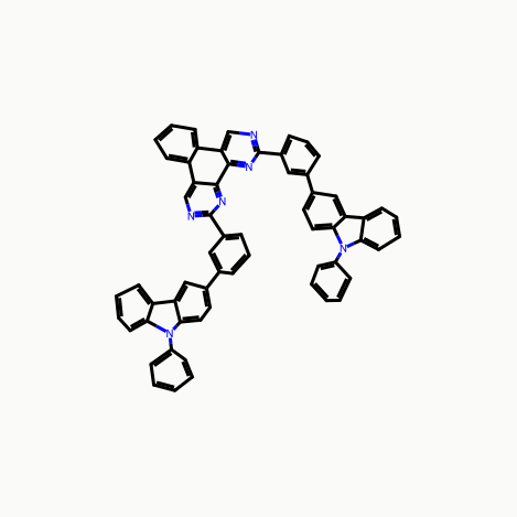 c1ccc(-n2c3ccccc3c3cc(-c4cccc(-c5ncc6c7ccccc7c7cnc(-c8cccc(-c9ccc%10c(c9)c9ccccc9n%10-c9ccccc9)c8)nc7c6n5)c4)ccc32)cc1